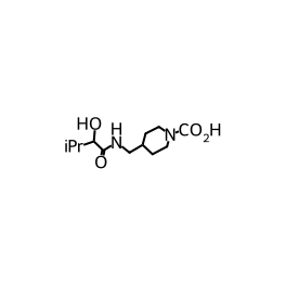 CC(C)C(O)C(=O)NCC1CCN(C(=O)O)CC1